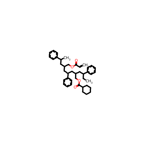 C=CC(=O)OCC(CC(C)c1ccccc1)CC(CC(COC(=O)C1CCCCC1)CC(CC)c1ccccc1)c1ccccc1